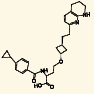 O=C(NC(CCO[C@H]1C[C@H](CCc2ccc3c(n2)NCCC3)C1)C(=O)O)c1ccc(C2CC2)cc1